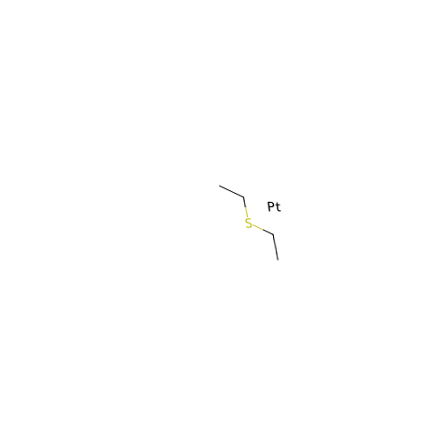 CCSCC.[Pt]